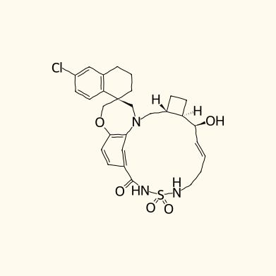 O=C1NS(=O)(=O)NCC/C=C/[C@H](O)[C@@H]2CC[C@H]2CN2C[C@@]3(CCCc4cc(Cl)ccc43)COc3ccc1cc32